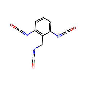 O=C=NCc1c(N=C=O)cccc1N=C=O